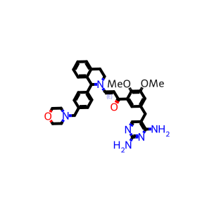 COc1cc(Cc2cnc(N)nc2N)cc(C(=O)/C=C/N2CCc3ccccc3C2c2ccc(CN3CCOCC3)cc2)c1OC